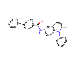 CC1=C=Cc2cc(NC(=O)c3ccc(-c4ccccc4)cc3)ccc2N1c1ccccc1